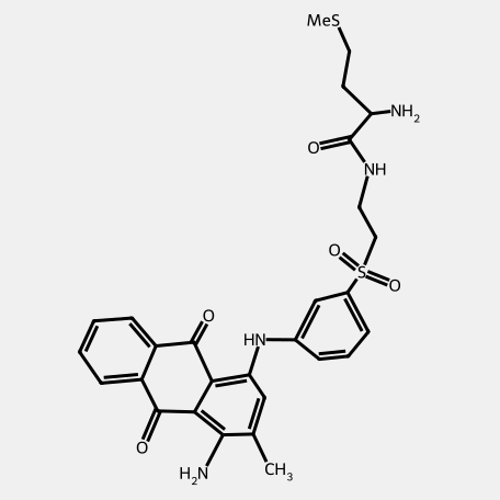 CSCCC(N)C(=O)NCCS(=O)(=O)c1cccc(Nc2cc(C)c(N)c3c2C(=O)c2ccccc2C3=O)c1